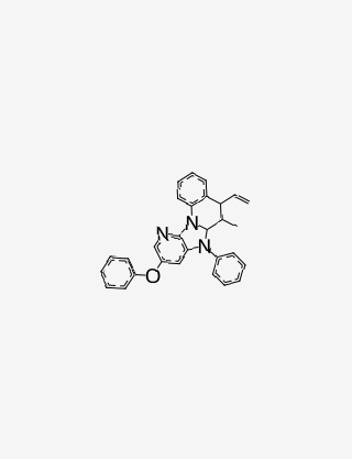 C=CC1c2ccccc2N2c3ncc(Oc4ccccc4)cc3N(c3ccccc3)C2C1C